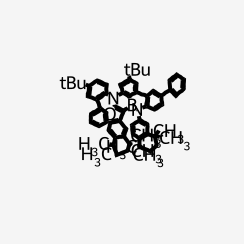 CC(C)(C)c1ccc(N2c3cc(C(C)(C)C)cc4c3B(c3c2oc2cc5c(cc32)C(C)(C)CCC5(C)C)N(c2ccc3c(c2)C(C)(C)CCC3(C)C)c2ccc(-c3ccccc3)cc2-4)c(-c2ccccc2)c1